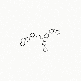 c1ccc(-c2ccc(N(c3ccc(-c4cccc(-c5ccc6c(ccc7ccccc76)c5)c4)cc3)c3ccc(-c4ccc5oc6ccccc6c5c4)cc3)cc2)cc1